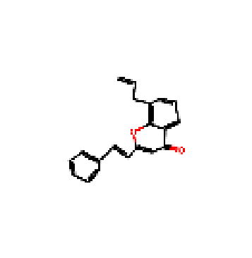 C=CCc1cccc2c(=O)cc(C=Cc3ccccc3)oc12